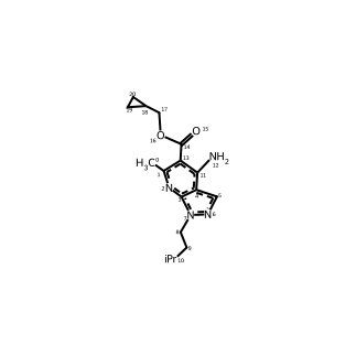 Cc1nc2c(cnn2CCC(C)C)c(N)c1C(=O)OCC1CC1